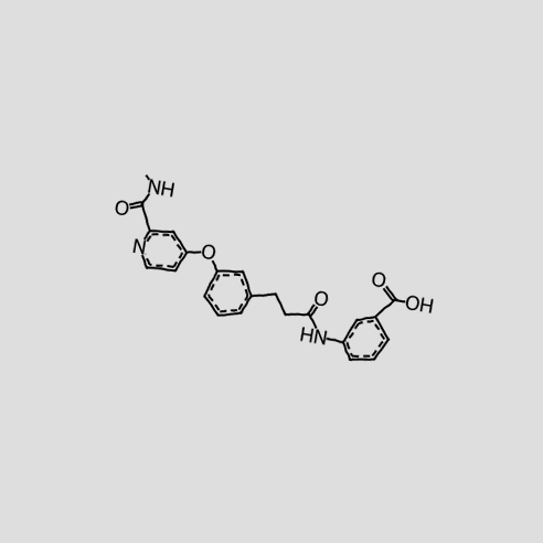 CNC(=O)c1cc(Oc2cccc(CCC(=O)Nc3cccc(C(=O)O)c3)c2)ccn1